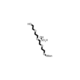 CCCCCCCCCOCCOCCOCCOCCO.O=S(=O)(O)O